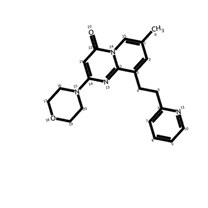 Cc1cc(CCc2ccccn2)c2nc(N3CCOCC3)cc(=O)n2c1